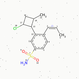 C/C=C\c1ccc(S(N)(=O)=O)cc1C1C(C)CC1Cl